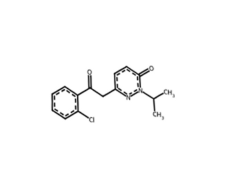 CC(C)n1nc(CC(=O)c2ccccc2Cl)ccc1=O